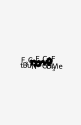 COc1cc(F)cc(C(F)(F)F)c1C(C)Cc1ccc2nc(C(C)(C)C)c(C(F)(F)F)cc2c1